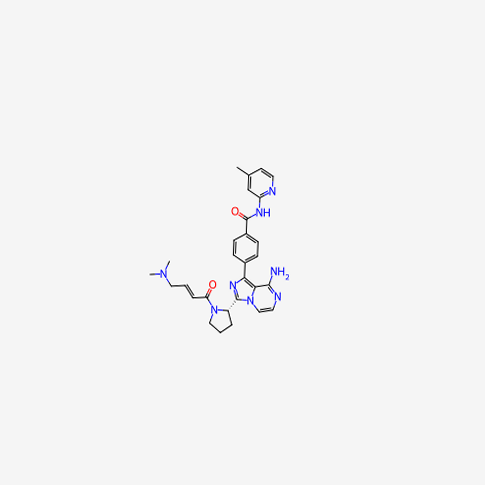 Cc1ccnc(NC(=O)c2ccc(-c3nc([C@@H]4CCCN4C(=O)C=CCN(C)C)n4ccnc(N)c34)cc2)c1